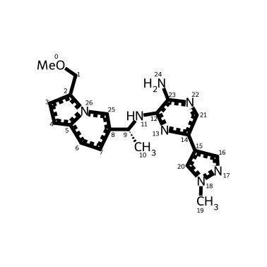 COCc1ccc2ccc([C@@H](C)Nc3nc(-c4cnn(C)c4)cnc3N)cn12